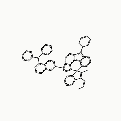 C/C=C\C1=C(C)C2(c3ccccc31)c1ccc(-c3ccc4c(N(c5ccccc5)c5ccccc5)cccc4c3)c3ccc4c(c13)c1c2cccc1n4C1C=CC=CC1